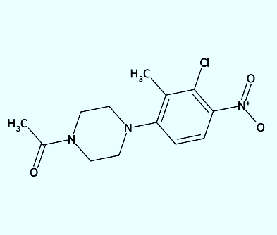 CC(=O)N1CCN(c2ccc([N+](=O)[O-])c(Cl)c2C)CC1